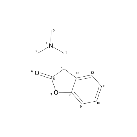 CN(C)CC1C(=O)Oc2ccccc21